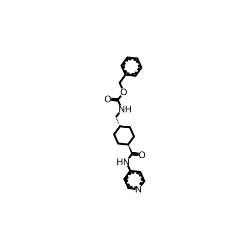 O=C(NC[C@H]1CC[C@H](C(=O)Nc2ccncc2)CC1)OCc1ccccc1